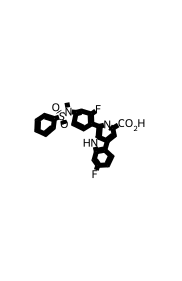 CN(c1ccc(-c2nc(C(=O)O)cc3c2[nH]c2cc(F)ccc23)c(F)c1)S(=O)(=O)c1ccccc1